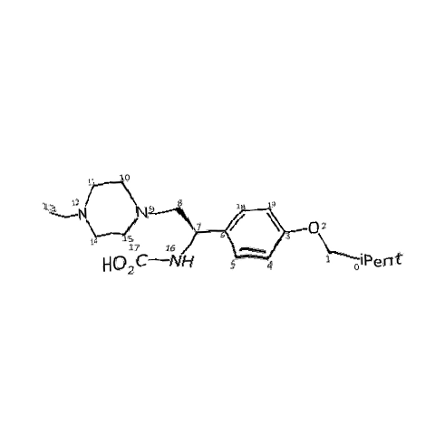 CCCC(C)COc1ccc([C@H](CN2CCN(C)CC2)NC(=O)O)cc1